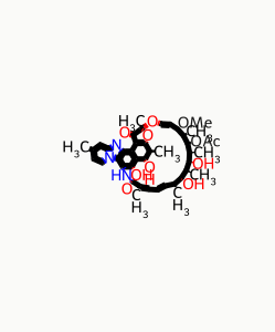 CO[C@H]1/C=C/O[C@@]2(C)OC3=C(C2=O)c2c(c(O)c(c4c2nc2cc(C)ccn24)NC(=O)/C(C)=C\C=C\[C@H](C)[C@H](O)[C@@H](C)[C@@H](O)[C@@H](C)[C@H](OC(C)=O)[C@@H]1C)C(O)[C@@H]3C